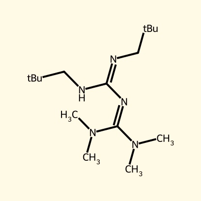 CN(C)C(=N/C(=N\CC(C)(C)C)NCC(C)(C)C)N(C)C